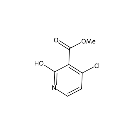 COC(=O)c1c(Cl)ccnc1O